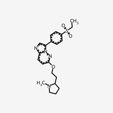 CCS(=O)(=O)c1ccc(-c2cnc3ccc(OCCC4CCCN4C)nn23)cc1